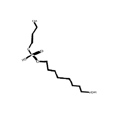 CCCCCCCCCCCCCCCCCCOP(=O)(O)OCCCO